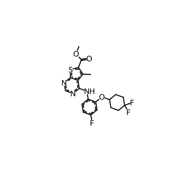 COC(=O)c1sc2ncnc(Nc3ccc(F)cc3OC3CCC(F)(F)CC3)c2c1C